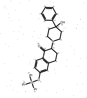 CC(C)[Si](Oc1ccc2c(c1)CCC(N1CCC(O)(c3ccccc3)CC1)C2=O)(C(C)C)C(C)C